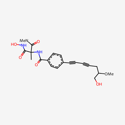 CNC(=O)C(C)(NC(=O)c1ccc(C#CC#CCC(CO)OC)cc1)C(=O)NO